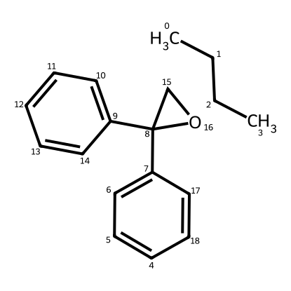 CCCC.c1ccc(C2(c3ccccc3)CO2)cc1